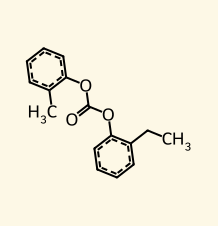 CCc1ccccc1OC(=O)Oc1ccccc1C